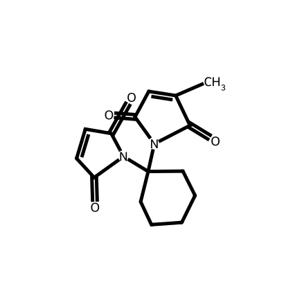 CC1=CC(=O)N(C2(N3C(=O)C=CC3=O)CCCCC2)C1=O